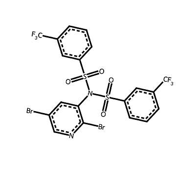 O=S(=O)(c1cccc(C(F)(F)F)c1)N(c1cc(Br)cnc1Br)S(=O)(=O)c1cccc(C(F)(F)F)c1